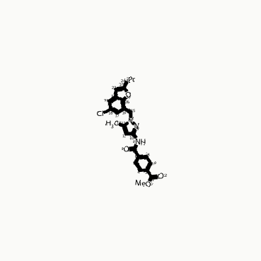 COC(=O)c1ccc(C(=O)Nc2cc(C)n(Cc3cc(Cl)cc4cc(C(C)C)oc34)n2)cc1